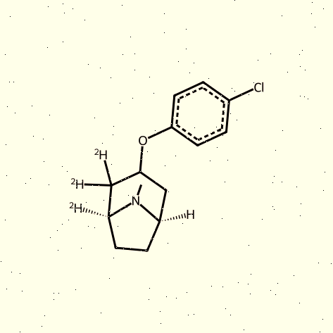 [2H]C1([2H])C(Oc2ccc(Cl)cc2)C[C@H]2CC[C@]1([2H])N2C